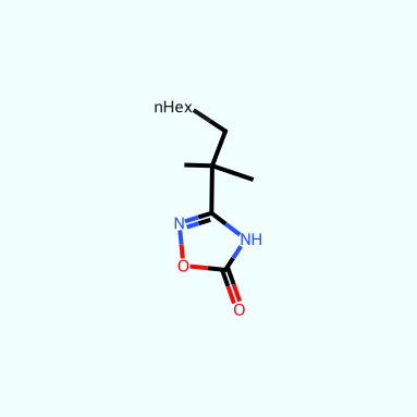 CCCCCCCC(C)(C)c1noc(=O)[nH]1